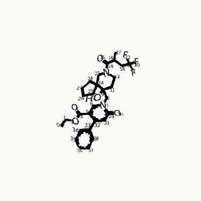 CCOC(=O)c1cn(CC2(O)CCN(C(=O)C(C)CC(F)(F)F)CC23CCCC3)c(=O)cc1-c1ccccc1